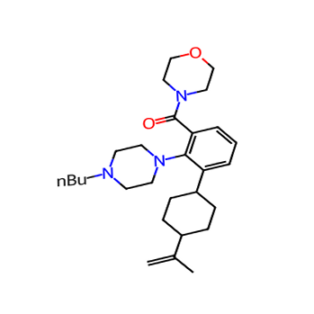 C=C(C)C1CCC(c2cccc(C(=O)N3CCOCC3)c2N2CCN(CCCC)CC2)CC1